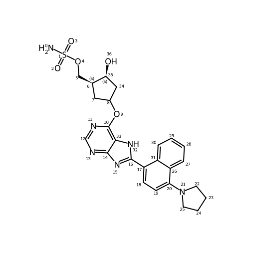 NS(=O)(=O)OC[C@@H]1CC(Oc2ncnc3nc(-c4ccc(N5CCCC5)c5ccccc45)[nH]c23)C[C@@H]1O